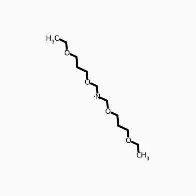 CCOCCCOC[N]COCCCOCC